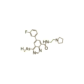 O=C(NCCN1CCCC1)c1cc(-c2cccc(F)c2)cc2c([AsH2])ncnc12